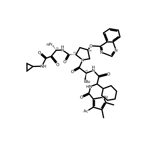 CCC[C@H](NC(=O)[C@@H]1C[C@@H](Oc2ncnc3ccccc23)CN1C(=O)[C@@H](NC(=O)C(NC(=O)c1[nH]c(C)c(C)c1C(C)=O)C1CCCCC1)C(C)(C)C)C(=O)C(=O)NC1CC1